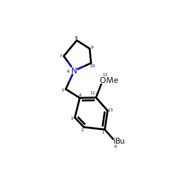 CCC(C)c1ccc(CN2CCCC2)c(OC)c1